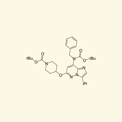 CC(C)c1cnc2c(N(Cc3ccccc3)C(=O)OC(C)(C)C)cc(OC3CCN(C(=O)OC(C)(C)C)CC3)nn12